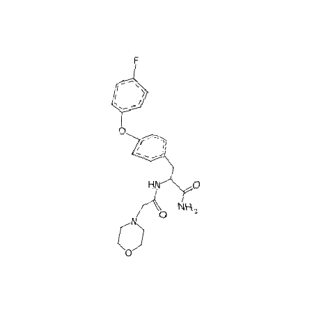 NC(=O)C(Cc1ccc(Oc2ccc(F)cc2)cc1)NC(=O)CN1CCOCC1